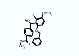 COC(=O)c1ccc(C(O)c2c(OCc3ccccc3)ccc(OC)c2F)cc1